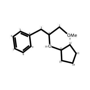 COCC(Cc1ccccc1)OC1CCCC1